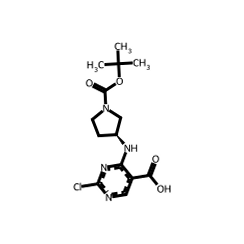 CC(C)(C)OC(=O)N1CC[C@H](Nc2nc(Cl)ncc2C(=O)O)C1